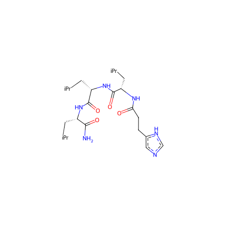 CC(C)C[C@H](NC(=O)[C@H](CC(C)C)NC(=O)[C@H](CC(C)C)NC(=O)CCc1cnc[nH]1)C(N)=O